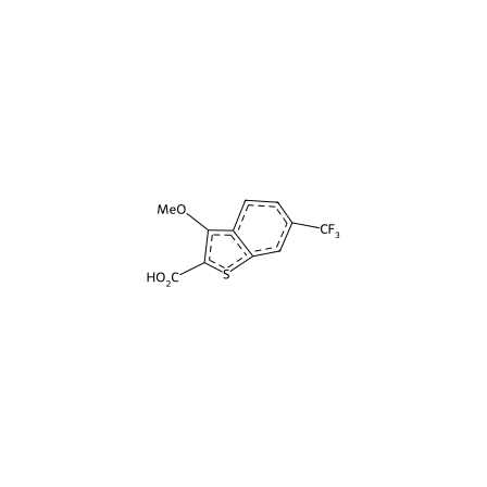 COc1c(C(=O)O)sc2cc(C(F)(F)F)ccc12